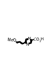 COCCCc1cnc(C(=O)O)cn1